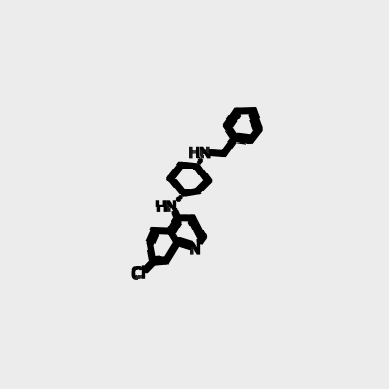 Clc1ccc2c(N[C@H]3CC[C@@H](NCc4ccccc4)CC3)ccnc2c1